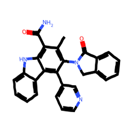 Cc1c(N2Cc3ccccc3C2=O)c(-c2cccnc2)c2c([nH]c3ccccc32)c1C(N)=O